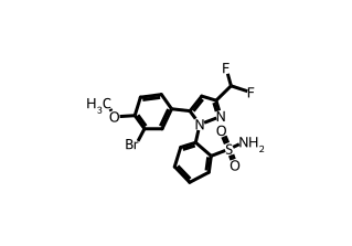 COc1ccc(-c2cc(C(F)F)nn2-c2ccccc2S(N)(=O)=O)cc1Br